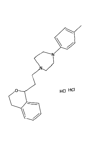 Cc1ccc(N2CCN(CCC3OCCc4ccccc43)CC2)cc1.Cl.Cl